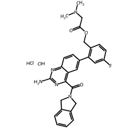 CN(C)CC(=O)OCc1ccc(F)cc1-c1ccc2nc(N)nc(C(=O)N3Cc4ccccc4C3)c2c1.Cl.Cl